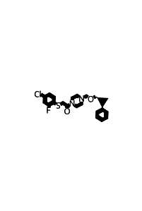 O=C(CSc1ccc(Cl)cc1F)N1CCN(COC[C@@H]2C[C@H]2c2ccccc2)CC1